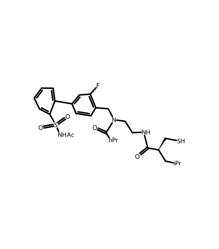 CCCC(=O)N(CCNC(=O)[C@@H](CS)CC(C)C)Cc1ccc(-c2ccccc2S(=O)(=O)NC(C)=O)cc1F